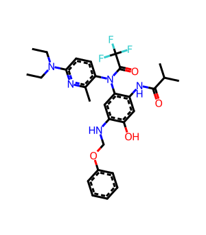 CCN(CC)c1ccc(N(C(=O)C(F)(F)F)c2cc(NCOc3ccccc3)c(O)cc2NC(=O)C(C)C)c(C)n1